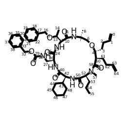 C=CCC[C@H]1OC[C@@H](C)NC(=O)[C@H](C(C)OCc2ccccc2)NC(=O)[C@H](CNC(=O)OCc2ccccc2)NC(=O)[C@H](C2CCCCC2)NC(=O)[C@H](CCC)N(C)C(=O)[C@@H]1CCC=C